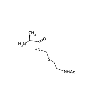 CC(=O)NCCSCNC(=O)[C@H](C)N